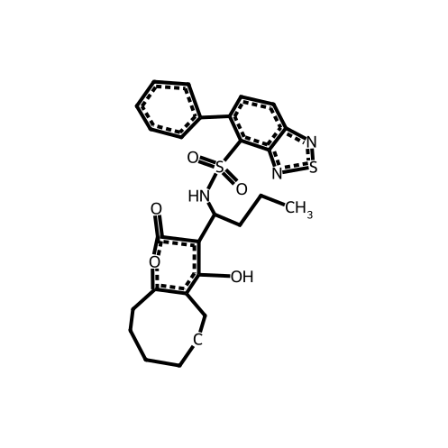 CCCC(NS(=O)(=O)c1c(-c2ccccc2)ccc2nsnc12)c1c(O)c2c(oc1=O)CCCCCC2